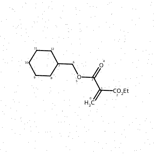 C=C(C(=O)OCC)C(=O)OCC1CCCCC1